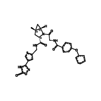 C[C@@]12C[C@@H]1N(C(=O)CNC(=O)c1ccc(Oc3ccccc3)cc1)[C@H](C(=O)NCc1cc(-c3noc(=O)[nH]3)cs1)C2